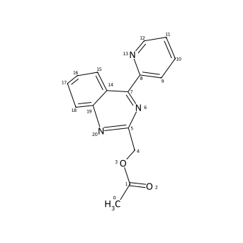 CC(=O)OCc1nc(-c2ccccn2)c2ccccc2n1